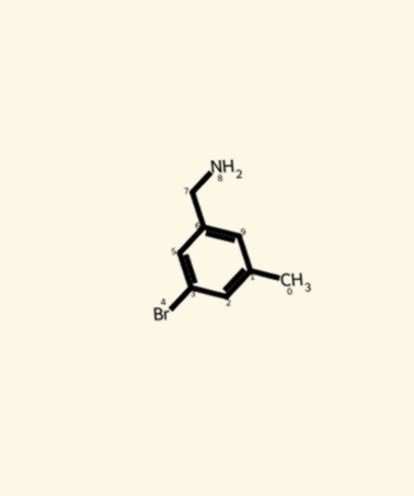 Cc1cc(Br)cc(CN)c1